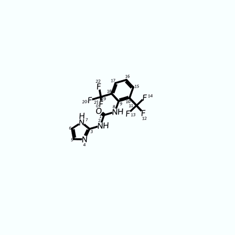 O=C(Nc1ncc[nH]1)Nc1c(C(F)(F)F)cccc1C(F)(F)F